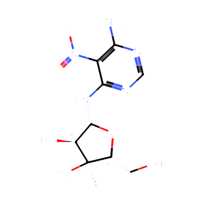 C[C@@]1(O)[C@@H](CO)O[C@@H](Nc2ncnc(N)c2[N+](=O)[O-])[C@@H]1O